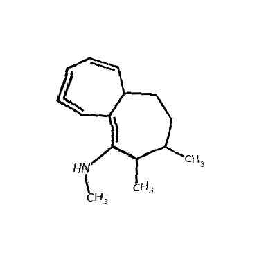 CNC1=C2C=C=CC=CC2CCC(C)C1C